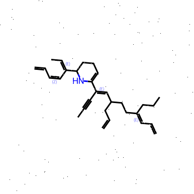 C=C/C=C\C(=C/C)C1CCC=C(/C(C#CC)=C/C(CC=C)CC/C(=C/C=C)CCC)N1